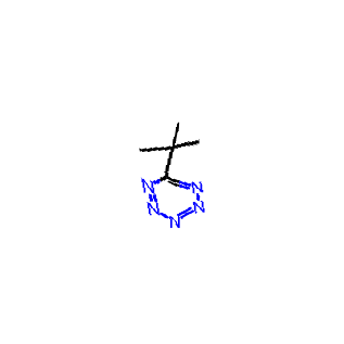 CC(C)(C)c1nnnnn1